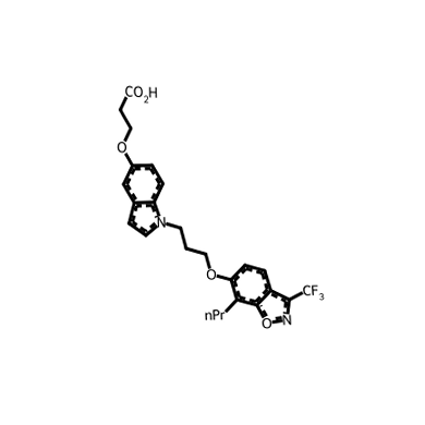 CCCc1c(OCCCn2ccc3cc(OCCC(=O)O)ccc32)ccc2c(C(F)(F)F)noc12